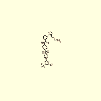 NCCCN1CCCC1c1cccc(C(=O)Nc2ccc(S(=O)(=O)N3CCN(c4cc(C(F)(F)F)cc(Cl)n4)CC3)cc2)c1